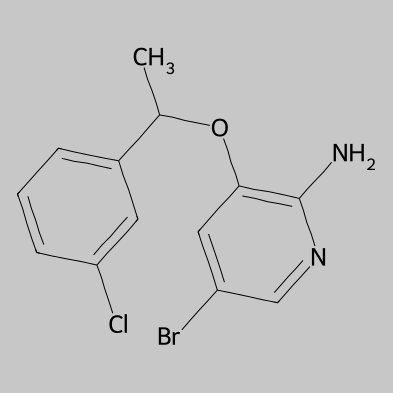 CC(Oc1cc(Br)cnc1N)c1cccc(Cl)c1